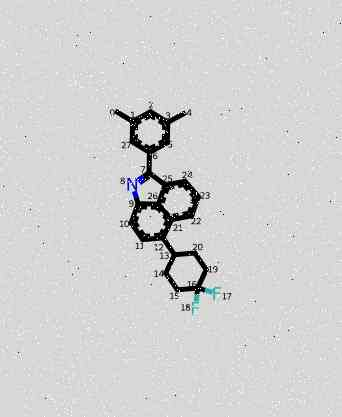 Cc1cc(C)cc(C2=Nc3ccc(C4CCC(F)(F)CC4)c4cccc2c34)c1